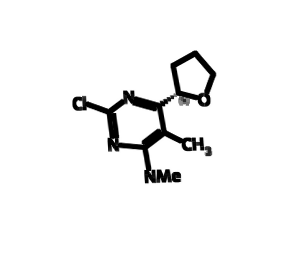 CNc1nc(Cl)nc([C@@H]2CCCO2)c1C